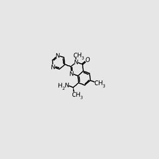 Cc1cc([C@@H](C)N)c2nc(-c3cncnc3)n(C)c(=O)c2c1